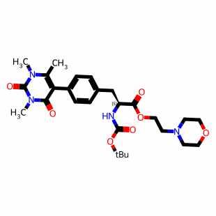 Cc1c(-c2ccc(C[C@H](NC(=O)OC(C)(C)C)C(=O)OCCN3CCOCC3)cc2)c(=O)n(C)c(=O)n1C